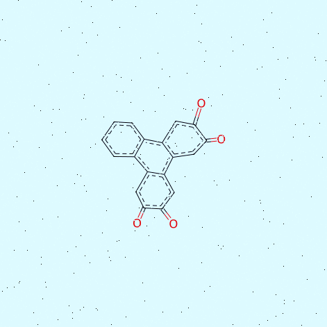 O=c1cc2c3ccccc3c3cc(=O)c(=O)cc3c2cc1=O